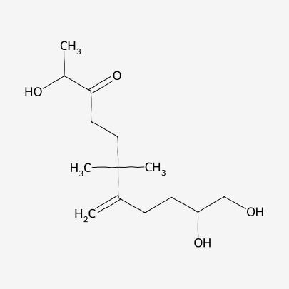 C=C(CCC(O)CO)C(C)(C)CCC(=O)C(C)O